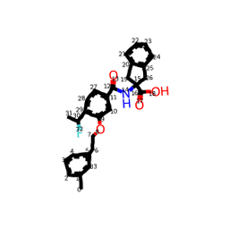 Cc1cccc(CCOc2cc(C(=O)NC3(C(=O)O)Cc4ccccc4C3)ccc2C(C)F)c1